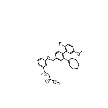 COc1ccc(F)c(-c2ccc(COc3cccc([C@@H](C)CC(=O)O)c3)cc2C2=CCCCCC2)c1